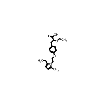 CCOC(Cc1ccc(OCCn2c(C)ccc2CC)cc1)C(=O)O